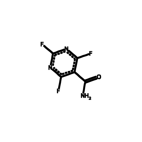 NC(=O)c1c(F)nc(F)nc1F